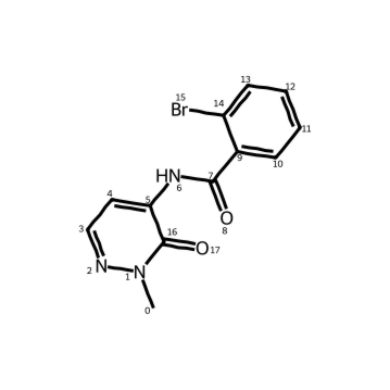 Cn1nccc(NC(=O)c2ccccc2Br)c1=O